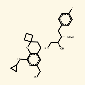 CC(=O)N[C@@H](Cc1ccc(F)cc1)[C@@H](O)CN[C@H]1CC2(CCC2)Oc2c1cc(CC(C)(C)C)nc2NC1CC1